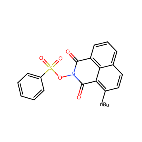 CCCCc1ccc2cccc3c2c1C(=O)N(OS(=O)(=O)c1ccccc1)C3=O